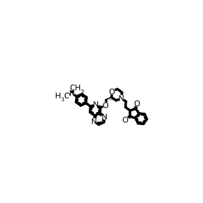 CN(C)c1ccc(-c2cc3nccnc3c(OC[C@@H]3CN(CCC4C(=O)c5ccccc5C4=O)CCO3)n2)cc1